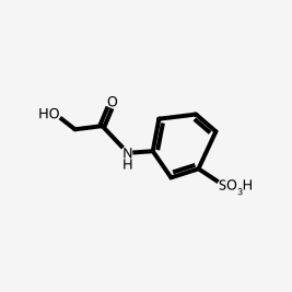 O=C(CO)Nc1cccc(S(=O)(=O)O)c1